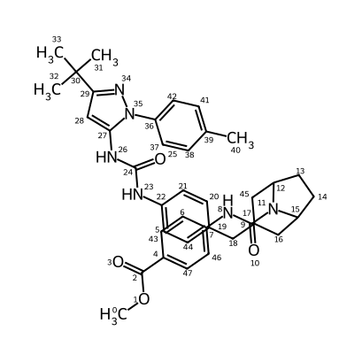 COC(=O)c1ccc(NC(=O)N2C3CCC2CC(Cc2ccc(NC(=O)Nc4cc(C(C)(C)C)nn4-c4ccc(C)cc4)cc2)C3)cc1